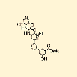 CCn1nc(-c2cccc(-c3cc(O)cc(C(=O)OC)c3)c2)cc(NC(=O)Nc2c(Cl)cncc2Cl)c1=O